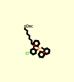 CCCCCCCCCCCCCCCCCCc1ccccc1[P+](Cc1ccccc1)(c1ccccc1)c1ccccc1.[Cl-]